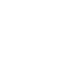 C/C(=C/C(=O)O)c1ccc(C2=C(c3ccc4c(c3)C(C)(C)CCC4(C)C)CCC2)nc1